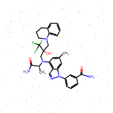 Cc1cc(N(CC(O)(CN2CCCc3ccccc32)C(F)(F)F)[C@@H](C)C(N)=O)c2cnn(-c3cccc(C(N)=O)c3)c2c1